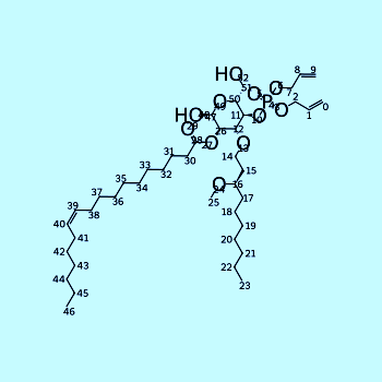 C=CCOP(=O)(OCC=C)O[C@H]1[C@H](OCC[C@@H](CCCCCCC)OC)[C@@H](OC(=O)CCCCCCCCC/C=C\CCCCCC)[C@@H](O)O[C@@H]1CO